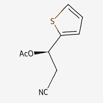 CC(=O)O[C@H](CC#N)c1cccs1